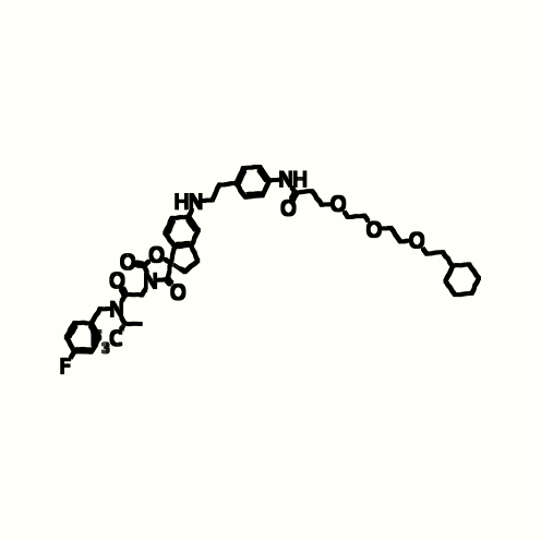 C[C@H](N(Cc1ccc(F)cc1)C(=O)CN1C(=O)O[C@@]2(CCc3cc(NCCc4ccc(NC(=O)CCOCCOCCOCCC5CCCCC5)cc4)ccc32)C1=O)C(F)(F)F